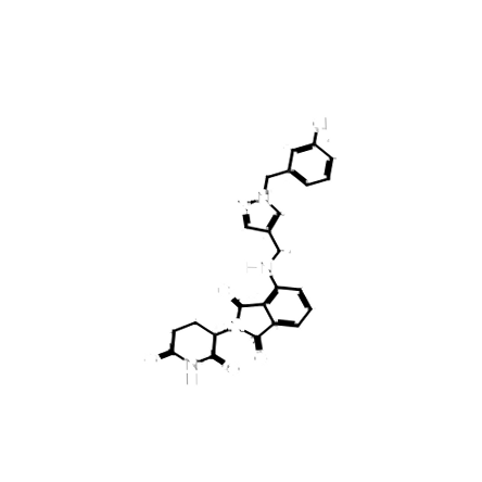 O=C1CCC(N2C(=O)c3cccc(NCc4cnn(Cc5cccc(Cl)c5)c4)c3C2=O)C(=O)N1